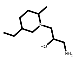 CCC1CCC(C)N(CC(O)CN)C1